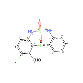 O=Cc1c(F)ccc(NS(=O)(=O)Nc2ccccc2)c1F